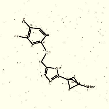 CC(=O)NC12CC(c3nnc(COc4ccc(Cl)c(F)c4)o3)(C1)C2